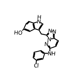 Oc1ccc2[nH]cc(Cc3nnc4ccc(Nc5cccc(Cl)c5)nn34)c2c1